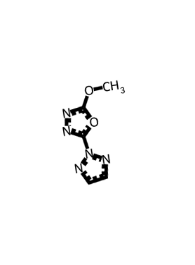 COc1nnc(-n2nccn2)o1